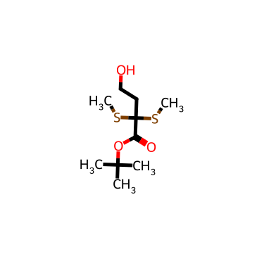 CSC(CCO)(SC)C(=O)OC(C)(C)C